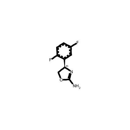 NC1=N[C@H](c2cc(F)ccc2F)CO1